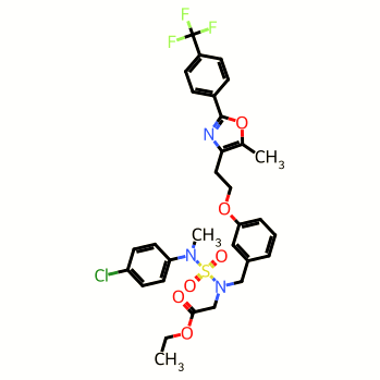 CCOC(=O)CN(Cc1cccc(OCCc2nc(-c3ccc(C(F)(F)F)cc3)oc2C)c1)S(=O)(=O)N(C)c1ccc(Cl)cc1